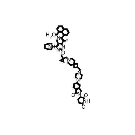 C=Cc1cccc2cccc(-c3ncc4c(N5CC6CCC(C5)N6)nc(OCC5(CN6CCC7(CC6)CC(CN6CCN(c8ccc9c(c8)CN([C@H]8CCC(=O)NC8=O)C9=O)CC6)C7)CC5)nc4c3F)c12